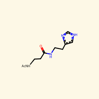 CC(=O)NCCC(=O)NCCc1c[nH]cn1